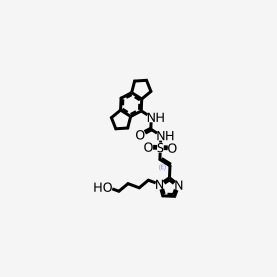 O=C(Nc1c2c(cc3c1CCC3)CCC2)NS(=O)(=O)/C=C/c1nccn1CCCCO